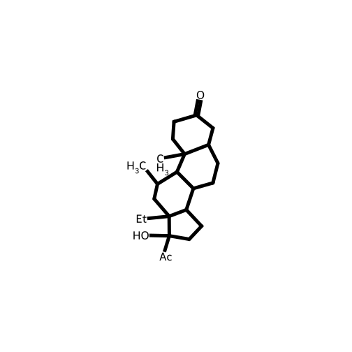 CCC12CC(C)C3C(CCC4CC(=O)CCC43C)C1CCC2(O)C(C)=O